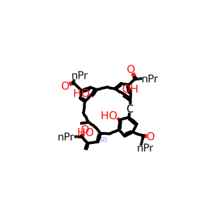 C=C(/C=C1/Cc2cc(C(=O)CCC)cc(c2O)Cc2cc(C(=O)CCC)cc(c2O)Cc2cc(C(=O)CCC)cc(c2O)CC(C)C1O)C(=O)CCC